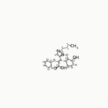 CCCCc1ncc(/C=C(\Cc2ccccc2)C(=O)O)n1Cc1ccccc1O